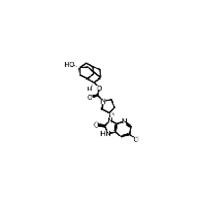 O=C(O[C@H]1C2CC3CC1C[C@](O)(C3)C2)N1CC[C@@H](n2c(=O)[nH]c3cc(Cl)cnc32)C1